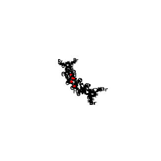 C[C@]12C3N4CN5C(=O)N6CN7C(=O)N8CN9C(=O)N%10Cc%11c(OCCBr)ccc(OCCBr)c%11CN%11C(=O)N%12CN%13C(=O)N(CN%14C(=O)N(CN3C(=O)N1Cc1c(OCCBr)ccc(OCCBr)c1CN2C4=O)C5[C@H]%146)[C@@H]7[C@@]8%13N[C@@]9%12[C@]%11%10C